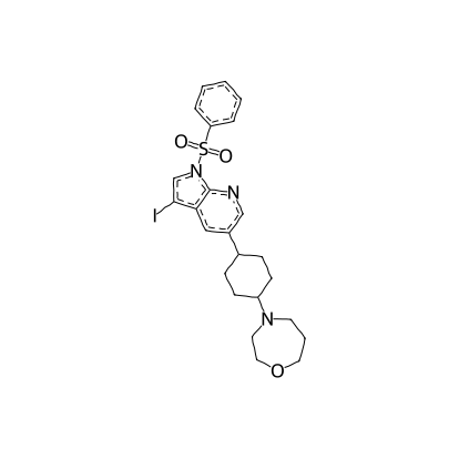 O=S(=O)(c1ccccc1)n1cc(I)c2cc(C3CCC(N4CCCOCC4)CC3)cnc21